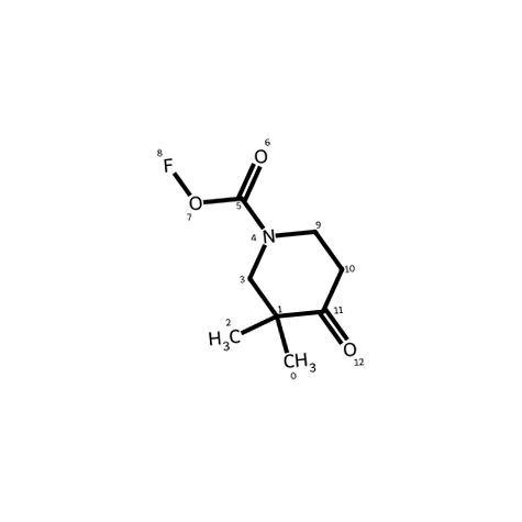 CC1(C)CN(C(=O)OF)CCC1=O